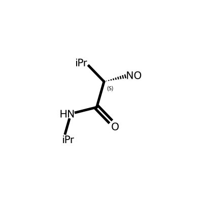 CC(C)NC(=O)[C@@H](N=O)C(C)C